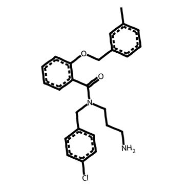 Cc1cccc(COc2ccccc2C(=O)N(CCCN)Cc2ccc(Cl)cc2)c1